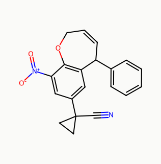 N#CC1(c2cc3c(c([N+](=O)[O-])c2)OCC=CC3c2ccccc2)CC1